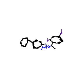 CC(NCc1ccc(-c2ccccc2)cc1)c1ccc(I)cc1I